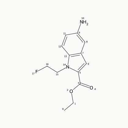 CCOC(=O)c1cc2cc(N)ccc2n1CCF